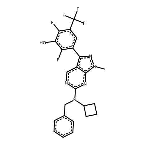 Cn1nc(-c2cc(C(F)(F)F)c(F)c(O)c2F)c2cnc(N(Cc3ccccc3)C3CCC3)nc21